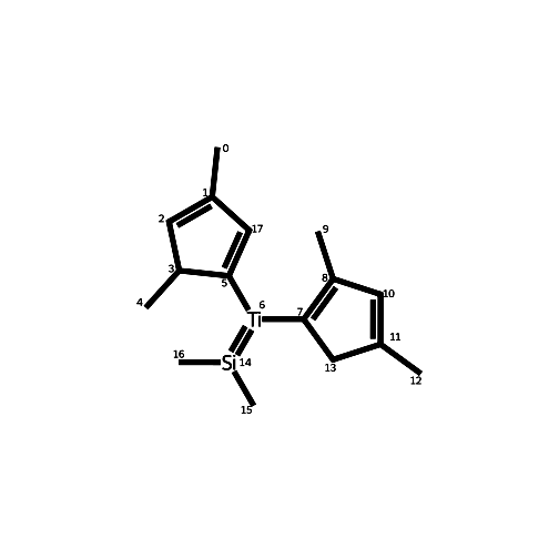 CC1=CC(C)[C]([Ti]([C]2=C(C)C=C(C)C2)=[Si](C)C)=C1